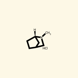 CN1CC2CC[C@H]1C2.Cl